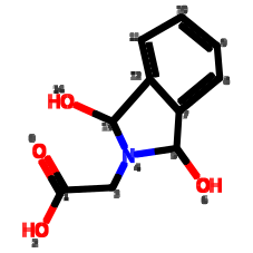 O=C(O)CN1C(O)c2ccccc2C1O